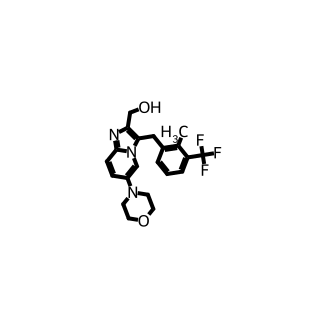 Cc1c(Cc2c(CO)nc3ccc(N4CCOCC4)cn23)cccc1C(F)(F)F